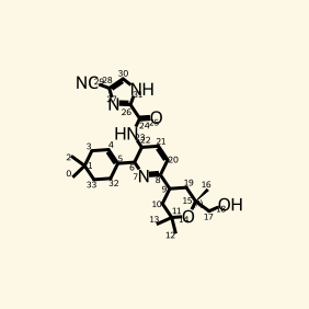 CC1(C)CC=C(C2N=C(C3CC(C)(C)O[C@@](C)(CO)C3)C=CC2NC(=O)c2nc(C#N)c[nH]2)CC1